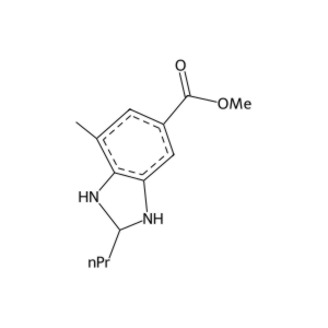 CCCC1Nc2cc(C(=O)OC)cc(C)c2N1